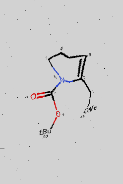 COCC1=CCCN1C(=O)OC(C)(C)C